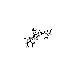 C=CC(C=C)[SiH2]C=C[Si](C=C)(C=C)C=C[SiH2]C(C=C)C=C